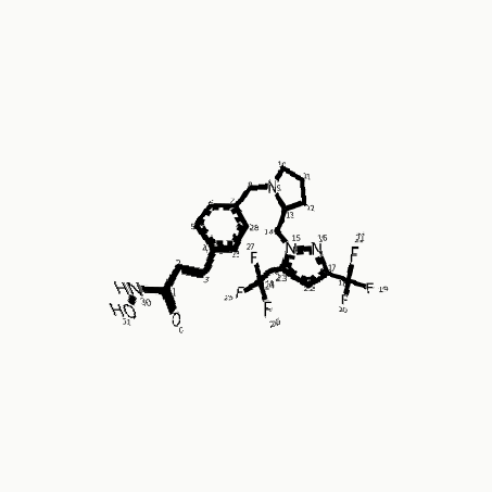 O=C(C=Cc1ccc(CN2CCCC2Cn2nc(C(F)(F)F)cc2C(F)(F)F)cc1)NO